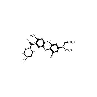 CCOC(=O)CN(C(=O)OCC)c1cc(Cl)c(Oc2ccc(OC)c(C(=O)N3CCN(C)CC3)c2)c(Cl)c1